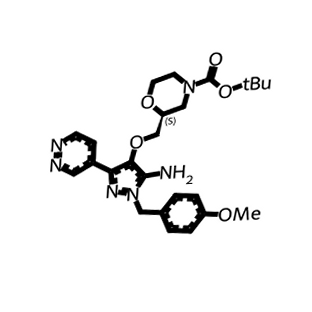 COc1ccc(Cn2nc(-c3ccnnc3)c(OC[C@@H]3CN(C(=O)OC(C)(C)C)CCO3)c2N)cc1